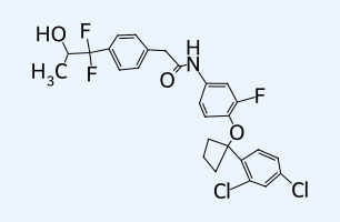 CC(O)C(F)(F)c1ccc(CC(=O)Nc2ccc(OC3(c4ccc(Cl)cc4Cl)CCC3)c(F)c2)cc1